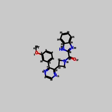 CC(C)Oc1cccc(-c2nccnc2C2CN(C(=O)c3nc4ccccc4[nH]3)C2)c1